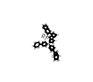 CC1(C)c2cc(N(c3ccc(C4CCCCC4)cc3)c3ccc(C4CC5CCC4C5)cc3)ccc2-c2cccc(-c3ccc4ccccc4c3)c21